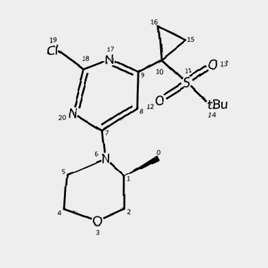 C[C@H]1COCCN1c1cc(C2(S(=O)(=O)C(C)(C)C)CC2)nc(Cl)n1